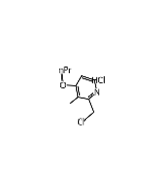 CCCOc1ccnc(CCl)c1C.Cl